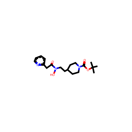 CC(C)(C)OC(=O)N1CCC(CCN(O)C(=O)Cc2ccccn2)CC1